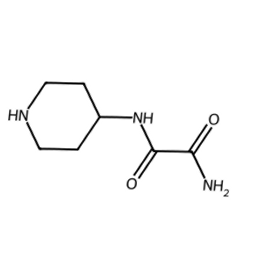 NC(=O)C(=O)NC1CCNCC1